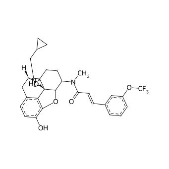 CN(C(=O)/C=C/c1cccc(OC(F)(F)F)c1)C1CC[C@@]2(O)[C@H]3Cc4ccc(O)c5c4[C@@]2(CCN3CC2CC2)C1O5